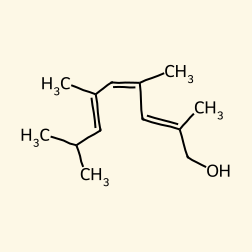 CC(=CC(C)=CC(C)C)C=C(C)CO